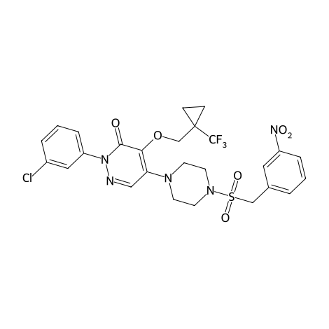 O=c1c(OCC2(C(F)(F)F)CC2)c(N2CCN(S(=O)(=O)Cc3cccc([N+](=O)[O-])c3)CC2)cnn1-c1cccc(Cl)c1